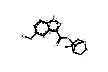 O=C(N[C@@H]1CN2CCC1CC2)c1n[nH]c2ccc(CO)cc12